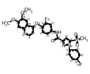 COc1cc2nccc(Oc3ccc(NC(=O)c4cc(S(C)(=O)=O)n(-c5ccc(F)cc5)n4)cc3F)c2cc1OC